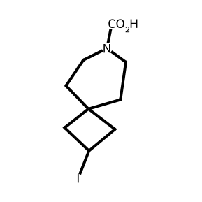 O=C(O)N1CCC2(CC1)CC(I)C2